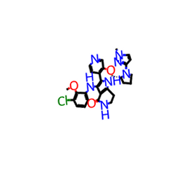 COc1c(Cl)cccc1Nc1c(-c2ccncc2OC[C@H]2CCCN2c2ccn(C)n2)[nH]c2c1C(=O)NCC2